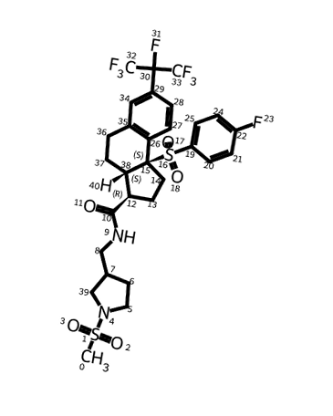 CS(=O)(=O)N1CCC(CNC(=O)[C@@H]2CC[C@@]3(S(=O)(=O)c4ccc(F)cc4)c4ccc(C(F)(C(F)(F)F)C(F)(F)F)cc4CC[C@@H]23)C1